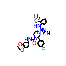 Cc1ccccc1N/C(=N/C#N)N1CCN(C(=O)Nc2ccc3c(c2)OCCO3)C(c2ccc(F)cc2)C1